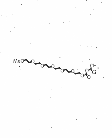 COCCOCCOCCOCCOCCOCCOC(=O)OC(C)Cl